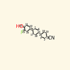 N#Cc1ccc(-c2ccc(-c3ccc(O)c(F)c3)cc2)cc1